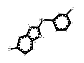 Clc1cccc(Nc2nc3cc(Cl)ccc3o2)c1